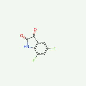 O=C1Nc2c(F)cc(F)cc2C1=O